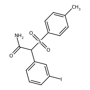 Cc1ccc(S(=O)(=O)C(C(N)=O)c2cccc(I)c2)cc1